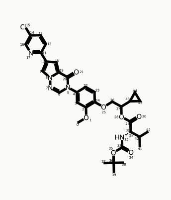 COc1cc(-n2cnn3cc(-c4ccc(Cl)cn4)cc3c2=O)ccc1OCC(OC(=O)[C@@H](NC(=O)OC(C)(C)C)C(C)C)C1CC1